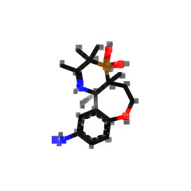 CC1=N[C@]2(C)c3cc(N)ccc3OCCC2(C)S(=O)(=O)C1(C)C